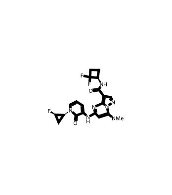 CNc1cc(Nc2cccn([C@@H]3C[C@H]3F)c2=O)nc2c(C(=O)N[C@@H]3CCC3(F)F)cnn12